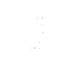 CCC(O)COCCOCCOCC(O)CC